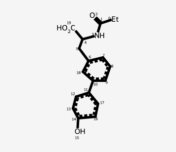 CCC(=O)NC(Cc1cccc(-c2ccc(O)cc2)c1)C(=O)O